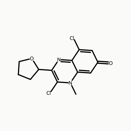 Cn1c2cc(=O)cc(Cl)c-2nc(C2CCCO2)c1Cl